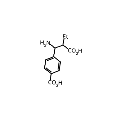 CCC(C(=O)O)C(N)c1ccc(C(=O)O)cc1